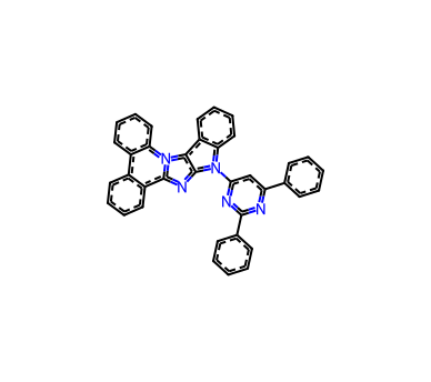 c1ccc(-c2cc(-n3c4ccccc4c4c3nc3c5ccccc5c5ccccc5n34)nc(-c3ccccc3)n2)cc1